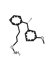 COc1cccc([C@@H](C)c2ccccc2CCCON)c1